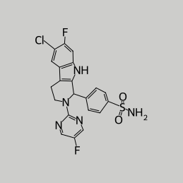 NS(=O)(=O)c1ccc(C2c3[nH]c4cc(F)c(Cl)cc4c3CCN2c2ncc(F)cn2)cc1